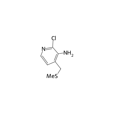 CSCc1ccnc(Cl)c1N